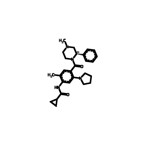 Cc1cc(C(=O)N2CCN(C)C[C@@H]2c2ccccc2)c(N2CCCC2)cc1NC(=O)C1CC1